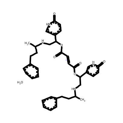 CC(CCc1ccccc1)NCC(OC(=O)/C=C/C(=O)OC(CNC(C)CCc1ccccc1)c1ccc(=O)[nH]c1)c1ccc(=O)[nH]c1.O